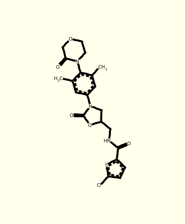 Cc1cc(N2CC(CNC(=O)c3ccc(Cl)s3)OC2=O)cc(C)c1N1CCOCC1=O